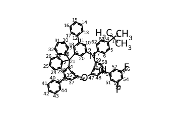 CC(C)(C)c1ccc(N2c3cc(-c4ccccc4)cc(c3)C(c3ccccc3)(c3ccccc3)c3cc(cc(-c4ccccc4)c3)Oc3cc(-c4cc(F)cc(F)c4)cc2c3Cl)cc1